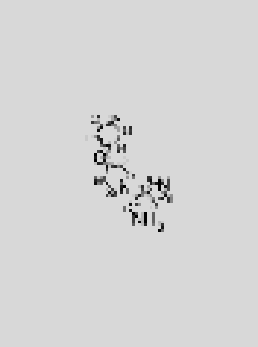 NCC(c1cncs1)N1CCC(Oc2ccccc2)CC1